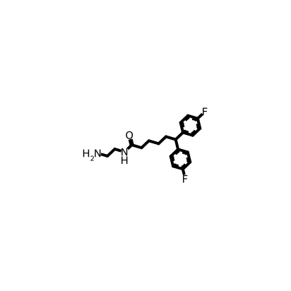 NCCNC(=O)CCCCC(c1ccc(F)cc1)c1ccc(F)cc1